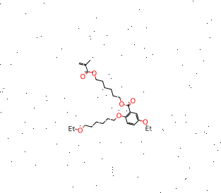 C=C(C)C(=O)OCCCCCCOC(=O)c1cc(OCC)ccc1OCCCCCCOCC